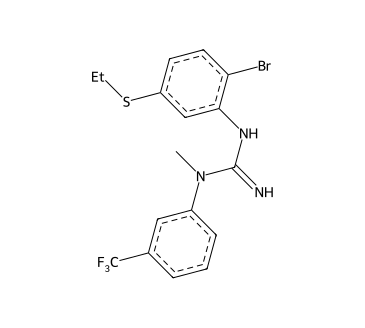 CCSc1ccc(Br)c(NC(=N)N(C)c2cccc(C(F)(F)F)c2)c1